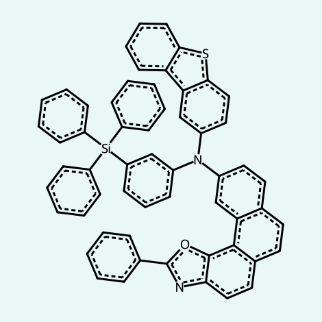 c1ccc(-c2nc3ccc4ccc5ccc(N(c6cccc([Si](c7ccccc7)(c7ccccc7)c7ccccc7)c6)c6ccc7sc8ccccc8c7c6)cc5c4c3o2)cc1